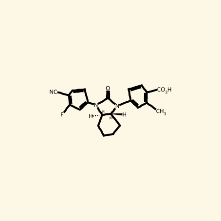 Cc1cc(N2C(=O)N(c3ccc(C#N)c(F)c3)[C@@H]3CCCC[C@H]32)ccc1C(=O)O